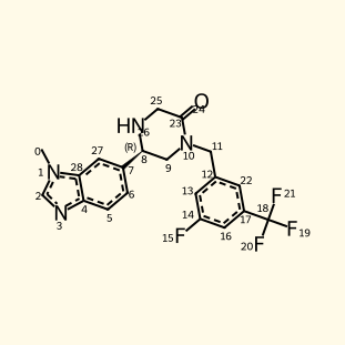 Cn1cnc2ccc([C@@H]3CN(Cc4cc(F)cc(C(F)(F)F)c4)C(=O)CN3)cc21